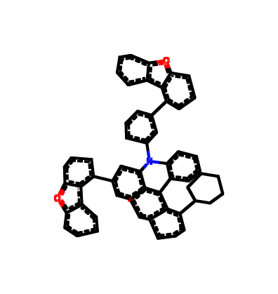 c1cc(-c2cccc3oc4ccccc4c23)cc(N(c2cccc(-c3cccc4oc5ccccc5c34)c2)c2ccccc2-c2cccc3cccc(C4CCCCC4)c23)c1